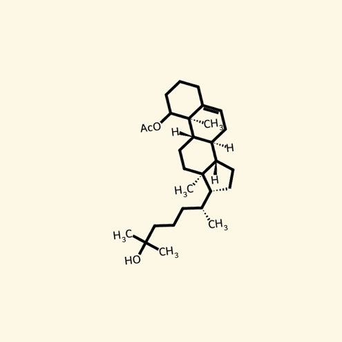 CC(=O)OC1CCCC2=CC[C@H]3[C@@H]4CC[C@H]([C@H](C)CCCC(C)(C)O)[C@@]4(C)CC[C@@H]3[C@]21C